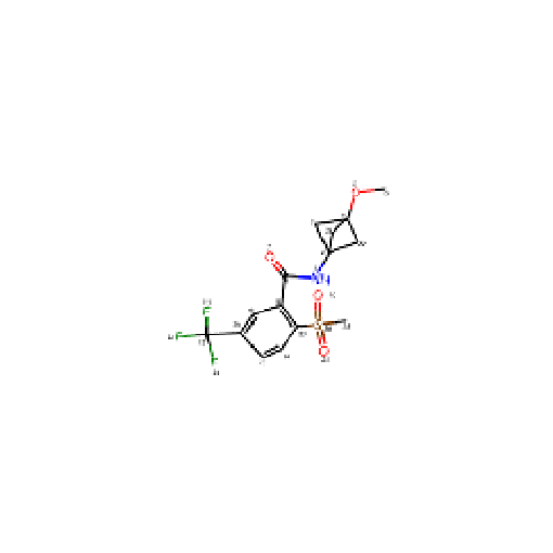 COC12CC(NC(=O)c3cc(C(F)(F)F)ccc3S(C)(=O)=O)(C1)C2